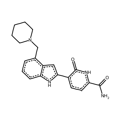 NC(=O)c1[c]cc(-c2cc3c(CN4CCCCC4)cccc3[nH]2)c(=O)[nH]1